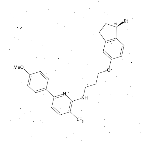 CC[C@@H]1CCc2cc(OCCCNc3nc(-c4ccc(OC)cc4)ccc3C(F)(F)F)ccc21